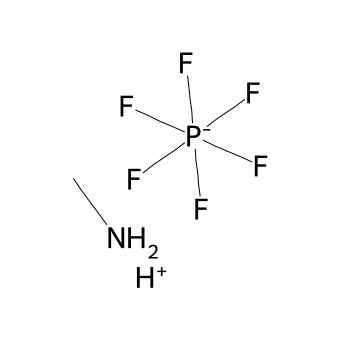 CN.F[P-](F)(F)(F)(F)F.[H+]